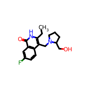 CCc1[nH]c(=O)c2cc(F)ccc2c1CN1CCCC1CO